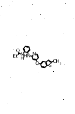 CCC(=O)Nc1ccccc1Nc1cc(Oc2ccc3sc(C)cc3c2)ccn1